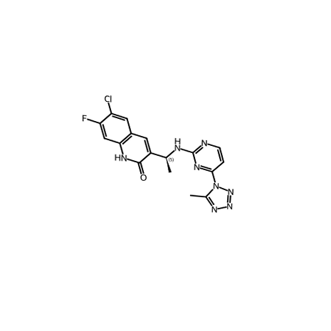 Cc1nnnn1-c1ccnc(N[C@@H](C)c2cc3cc(Cl)c(F)cc3[nH]c2=O)n1